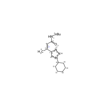 CCCCNC(=O)/C=C(/C)c1cn(C2CCCCC2)nn1